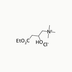 CCOC(=O)CC(O)C[N+](C)(C)C.[Cl-]